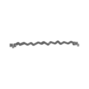 C=CC=CCCCCC=CCCCCCCCCC